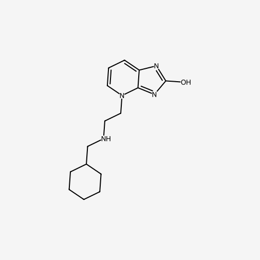 Oc1nc2cccn(CCNCC3CCCCC3)c-2n1